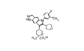 Cc1cc(-n2c(C3CCOCC3)c([C@@H]3CC[C@@](C)(C(=O)O)OC3)c3cc4[nH]ncc4cc32)ccc1F